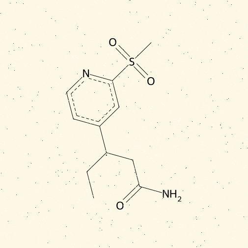 CC[C](CC(N)=O)c1ccnc(S(C)(=O)=O)c1